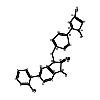 CC(C)c1ccccc1-c1ncc2c(n1)n(Cc1ccc(-c3cc(Cl)cn3C)cc1)c(=N)n2C